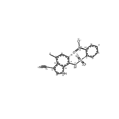 Cc1ccc(NS(=O)(=O)c2ccccc2[N+](=O)[O-])c2[nH]cc(C#N)c12